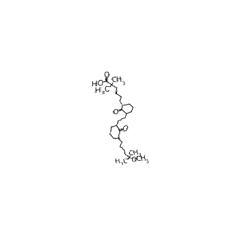 COC(C)(C)CCCCC1CCCC(CCC2CCCC(CCCCC(C)(C)C(=O)O)C2=O)C1=O